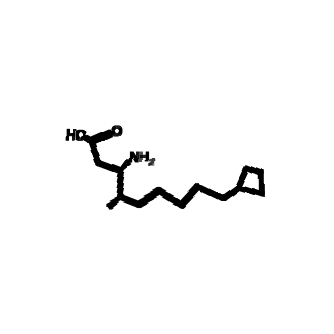 C[C@H](CCCCCC1CCC1)[C@H](N)CC(=O)O